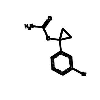 NC(=O)OC1(c2cccc(Br)c2)CC1